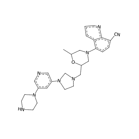 CC1CN(c2ccc(C#N)c3ncccc23)CC(CN2CCN(c3cncc(N4CCNCC4)c3)C2)O1